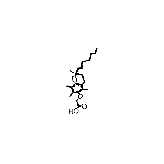 CCCCCCC[C@]1(C)CCc2c(C)c(OCC(=O)O)c(C)c(C)c2O1